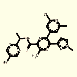 Cc1cc(-c2nc(C(=O)NC(C)c3ncc(C(C)C)cn3)c(N)nc2-c2ccn(C)n2)cc(Cl)n1